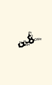 COc1ccc(-c2nc3ncccc3[nH]2)c2cc(C(C)C)oc12